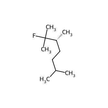 CC(C)CC[C@@H](C)C(C)(C)F